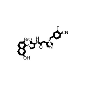 N#Cc1ccc(Cn2cncc2CC(=O)N[C@H]2CCN(c3c(Br)ccc4ccc(O)cc34)C2=O)cc1F